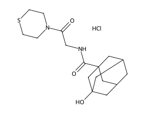 Cl.O=C(CNC(=O)C12CC3CC(CC(O)(C3)C1)C2)N1CCSCC1